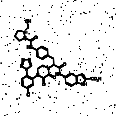 O=C(O)c1cc2cc(NC(=O)C(Cc3ccc(NC(=O)N4CCC[C@@H]4CO)cc3)N3CCN(c4cc(Cl)ccc4-n4cnnn4)C(=O)C3=O)ccc2[nH]1